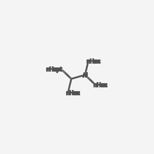 CCCCCCC[CH](CCCCCC)[Al]([CH2]CCCCC)[CH2]CCCCC